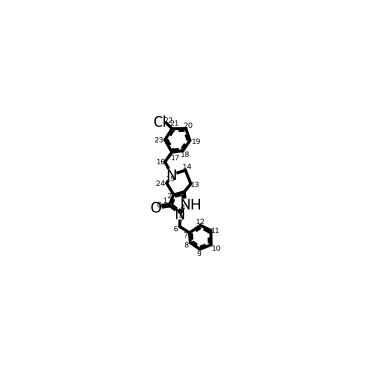 O=c1c2c([nH]n1Cc1ccccc1)CCN(Cc1cccc(Cl)c1)C2